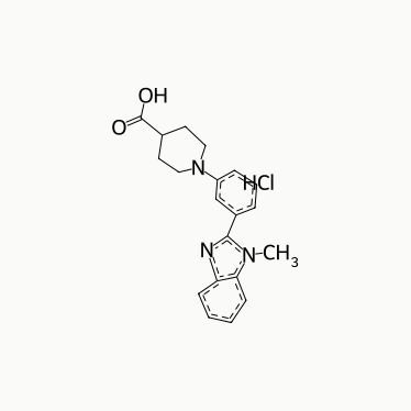 Cl.Cn1c(-c2cccc(N3CCC(C(=O)O)CC3)c2)nc2ccccc21